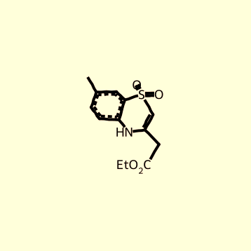 CCOC(=O)CC1=CS(=O)(=O)c2cc(C)ccc2N1